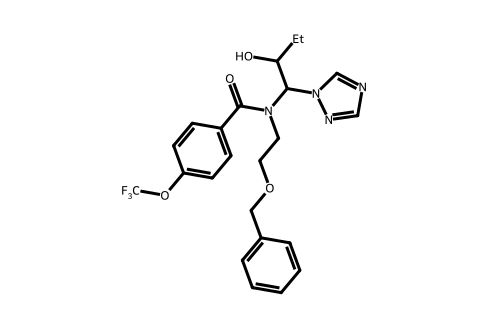 CCC(O)C(N(CCOCc1ccccc1)C(=O)c1ccc(OC(F)(F)F)cc1)n1cncn1